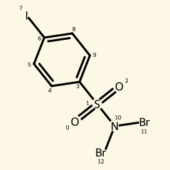 O=S(=O)(c1ccc(I)cc1)N(Br)Br